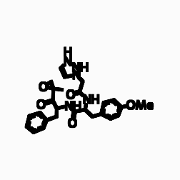 COc1ccc(CC(NC(=O)CN2C=CNN2)C(=O)NC(Cc2ccccc2)C(=O)C2(C)CO2)cc1